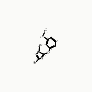 CC(C)n1nc(Br)nc1Oc1cccc(OC(F)(F)F)c1